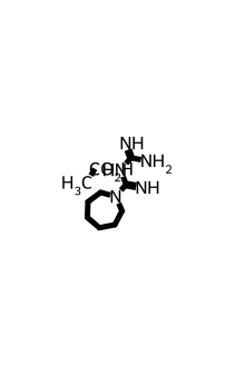 CC(=O)O.N=C(N)NC(=N)N1CCCCCC1